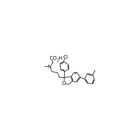 Cc1cccc(-c2ccc3c(c2)COC3(CCCN(C)CC(=O)O)c2ccc(Cl)cc2)c1